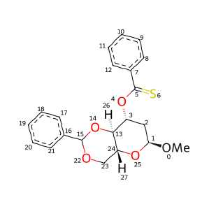 CO[C@@H]1C[C@@H](OC(=S)c2ccccc2)[C@@H]2OC(c3ccccc3)OC[C@H]2O1